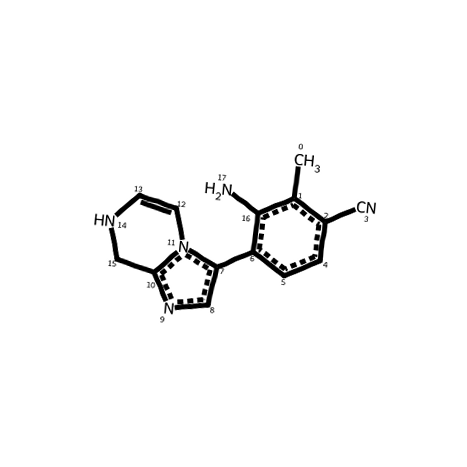 Cc1c(C#N)ccc(-c2cnc3n2C=CNC3)c1N